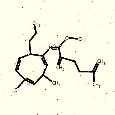 C=C(C)CCC(=C)/C(=N\C1=C\C(C)/C=C(C)\C=C/C1CCC)OC